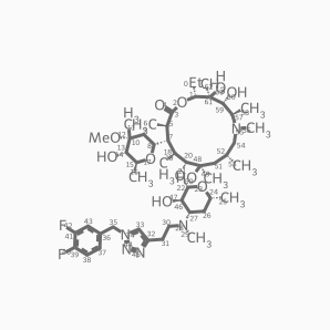 CC[C@H]1OC(=O)[C@H](C)[C@@H](C2C[C@@](C)(OC)[C@@H](O)[C@H](C)O2)[C@H](C)[C@@H](O[C@@H]2O[C@H](C)C[C@H](N(C)CCc3cn(Cc4ccc(F)c(F)c4)nn3)[C@H]2O)[C@](C)(O)C[C@@H](C)CN(C)[C@H](C)[C@@H](O)[C@]1(C)O